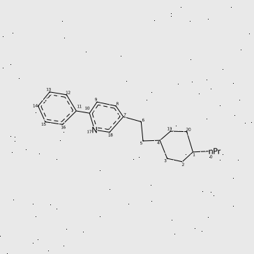 CCCC1CCC(CCc2ccc(-c3ccccc3)nc2)CC1